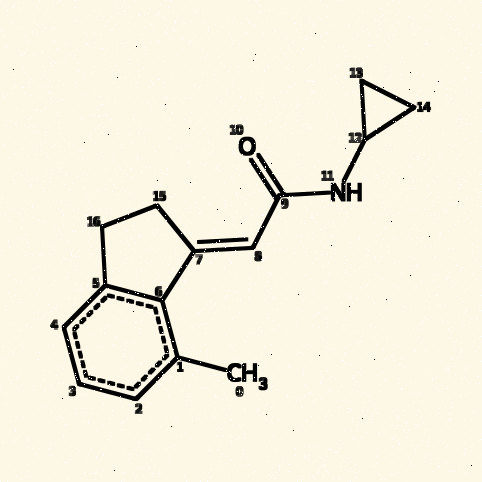 Cc1cccc2c1C(=CC(=O)NC1CC1)CC2